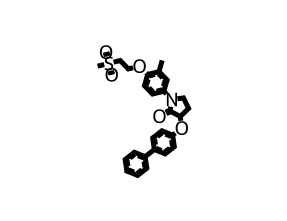 Cc1cc(N2CCC(Oc3ccc(-c4ccccc4)cc3)C2=O)ccc1OCCS(C)(=O)=O